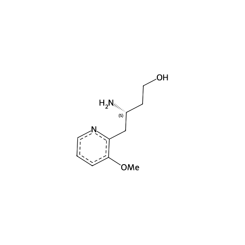 COc1cccnc1C[C@H](N)CCO